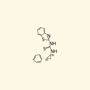 S=C(Nc1nc2ccccc2s1)N[C@@H]1C[C@@H]1c1ccccc1